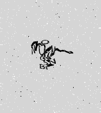 C=CCCCN1CC(OC(=O)c2cccnc2)[N+]([O-])(c2ncc(Br)s2)C1